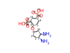 Nc1ccc(Oc2ccc(S(=O)(=O)O)cc2S(=O)(=O)O)cc1N